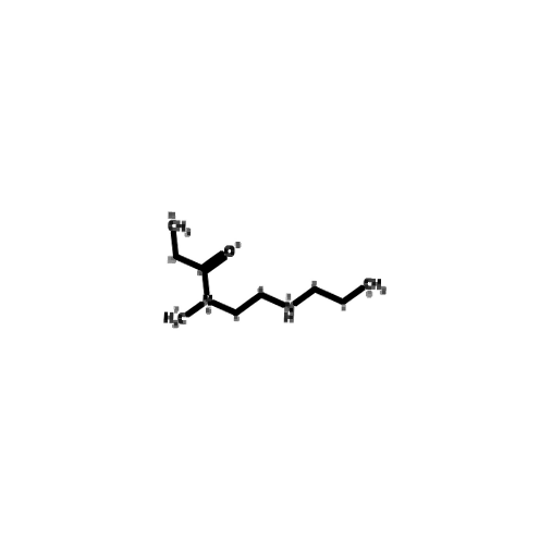 CCCNCCN(C)C(=O)CC